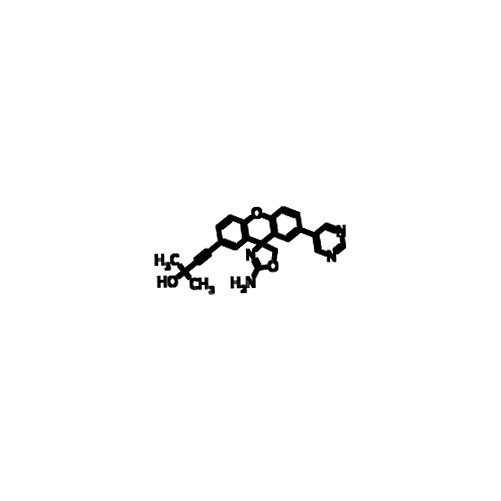 CC(C)(O)C#Cc1ccc2c(c1)C1(COC(N)=N1)c1cc(-c3cncnc3)ccc1O2